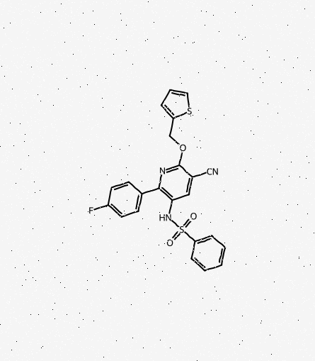 N#Cc1cc(NS(=O)(=O)c2ccccc2)c(-c2ccc(F)cc2)nc1OCc1cccs1